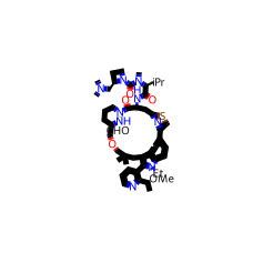 CCn1c(-c2cccnc2[C@H](C)OC)c2c3cc(ccc31)-c1csc(n1)C[C@H](NC(=O)[C@H](C(C)C)N(C)C(=O)N1CC[C@@H]1CN(C)C)C(=O)N1CCC[C@](C=O)(COCC(C)(C)C2)N1